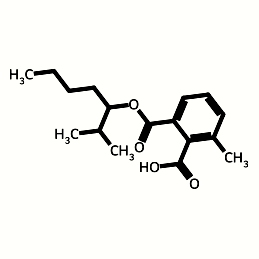 CCCCC(OC(=O)c1cccc(C)c1C(=O)O)C(C)C